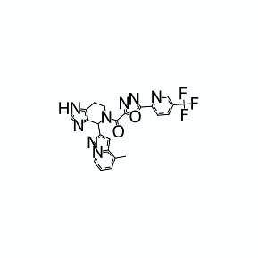 Cc1cccn2nc(C3c4nc[nH]c4CCN3C(=O)c3nnc(-c4ccc(C(F)(F)F)cn4)o3)cc12